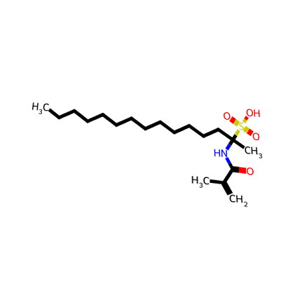 C=C(C)C(=O)NC(C)(CCCCCCCCCCCCC)S(=O)(=O)O